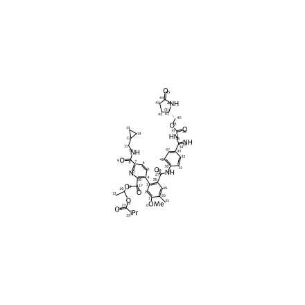 COc1cc(-c2ccc(C(=O)NCC3CC3)nc2C(=O)OC(C)OC(=O)C(C)C)c(C(=O)Nc2ccc(C(=N)NC(=O)OC[C@@H]3CCC(=O)N3)cc2)cc1C